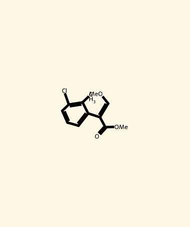 CO/C=C(/C(=O)OC)c1cccc(Cl)c1C